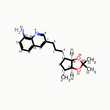 C[C@@H]1C[C@H](CCCc2cnc3c(N)cccc3c2)[C@H]2OC(C)(C)O[C@H]21